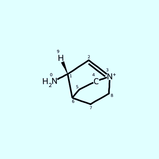 N[C@@H]1C=[N+]2CCC1CC2